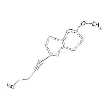 COc1ccc2cc(C#CCCO)ccc2c1